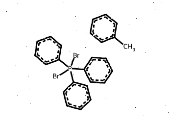 BrP(Br)(c1ccccc1)(c1ccccc1)c1ccccc1.Cc1ccccc1